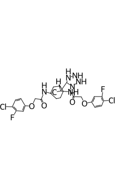 O=C(COc1ccc(Cl)c(F)c1)NC12CCC(NC(=O)COc3ccc(Cl)c(F)c3)(CC1)[C@@H](C1NNNN1)C2